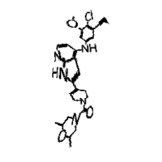 C#Cc1cc(Nc2ccnc3[nH]c(C4=CCN(C(=O)N5CC(C)OC(C)C5)CC4)cc23)cc(OC)c1Cl